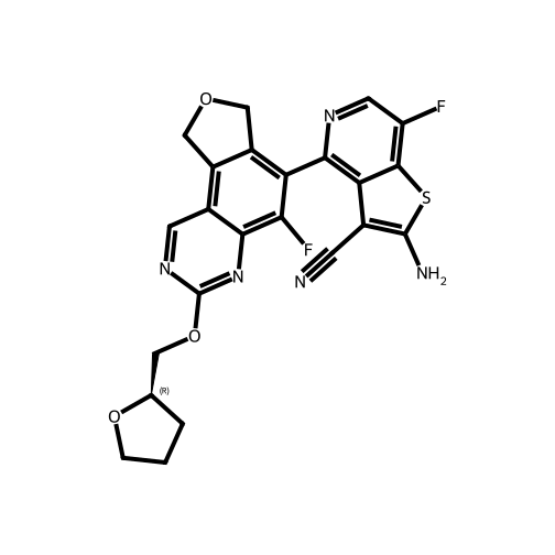 N#Cc1c(N)sc2c(F)cnc(-c3c4c(c5cnc(OC[C@H]6CCCO6)nc5c3F)COC4)c12